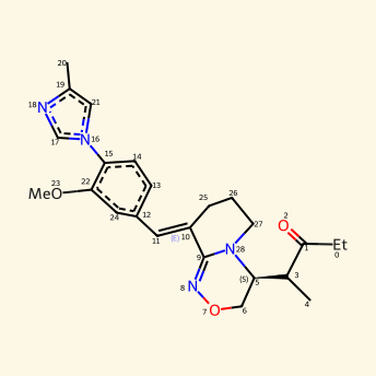 CCC(=O)C(C)[C@H]1CON=C2/C(=C/c3ccc(-n4cnc(C)c4)c(OC)c3)CCCN21